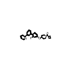 O=C(C1CCC1)N1CCC(Oc2ccc(-c3cccc(-c4ccccn4)c3)c(F)c2)CC1